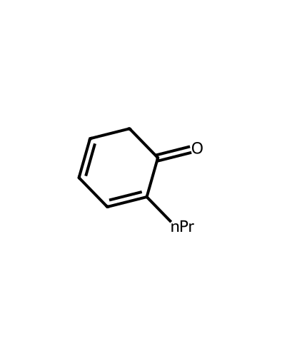 [CH2]CCC1=CC=CCC1=O